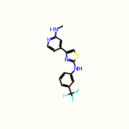 CNc1cc(-c2csc(Nc3cccc(C(F)(F)F)c3)n2)ccn1